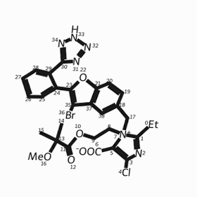 CCC1=NC(Cl)=C(C(=O)[O-])[N+]1(CCOC(=O)C(C)(C)OC)Cc1ccc2oc(-c3ccccc3-c3nn[nH]n3)c(Br)c2c1